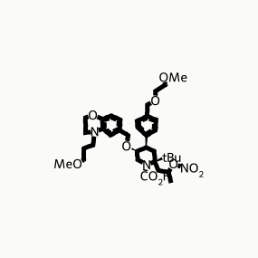 COCCCN1CCOc2ccc(CO[C@H]3CN(C(=O)O)[C@](CC(C)O[N+](=O)[O-])(C(C)(C)C)C[C@@H]3c3ccc(COCCOC)cc3)cc21